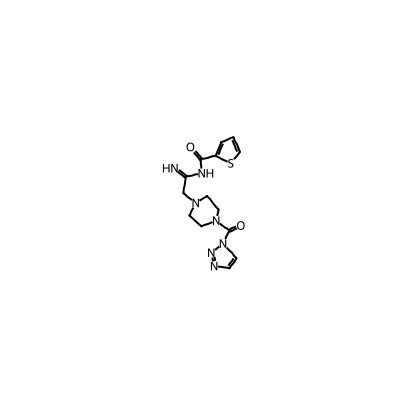 N=C(CN1CCN(C(=O)n2ccnn2)CC1)NC(=O)c1cccs1